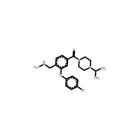 CNCc1ccc(C(=O)N2CCN(C(C)C)CC2)cc1Oc1ccc(Cl)cc1